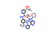 Cc1ccc(NC(=O)c2cc(C(O)C(F)(F)F)ccn2)cc1Nc1ncccc1-c1ncnc2c1nc(C)n2C1CCCCO1